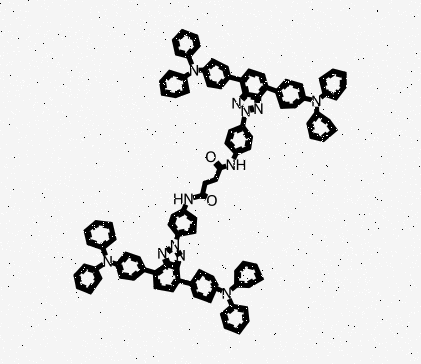 O=C(CCC(=O)Nc1ccc(-n2nc3c(-c4ccc(N(c5ccccc5)c5ccccc5)cc4)ccc(-c4ccc(N(c5ccccc5)c5ccccc5)cc4)c3n2)cc1)Nc1ccc(-n2nc3c(-c4ccc(N(c5ccccc5)c5ccccc5)cc4)ccc(-c4ccc(N(c5ccccc5)c5ccccc5)cc4)c3n2)cc1